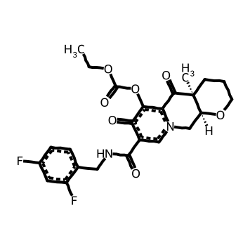 CCOC(=O)Oc1c2n(cc(C(=O)NCc3ccc(F)cc3F)c1=O)C[C@@H]1OCCC[C@]1(C)C2=O